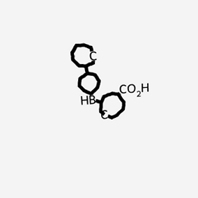 O=C(O)C1CCCCCCC(BC2CCCC(C3CCCCCCCC3)CCC2)CC1